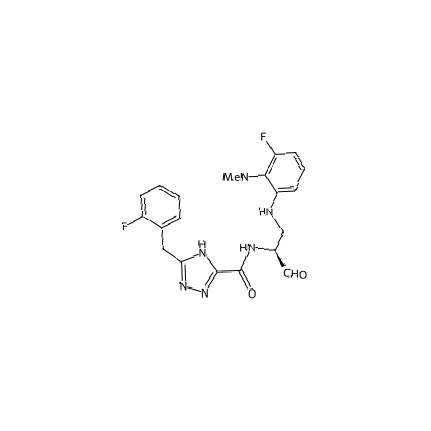 CNc1c(F)cccc1NC[C@@H](C=O)NC(=O)c1nnc(Cc2ccccc2F)[nH]1